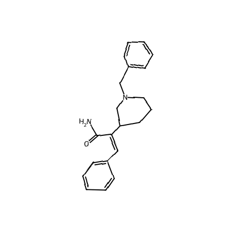 NC(=O)/C(=C\c1ccccc1)C1CCCN(Cc2ccccc2)C1